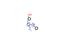 Nc1ncc(Cc2cccc(CO)c2)nc1-c1nnc(-c2ccccc2)o1